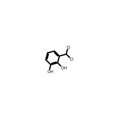 Oc1cccc(C(Cl)Cl)c1O